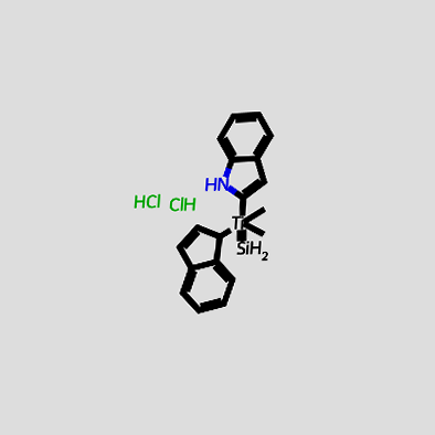 Cl.Cl.[CH3][Ti]([CH3])(=[SiH2])([c]1cc2ccccc2[nH]1)[CH]1C=Cc2ccccc21